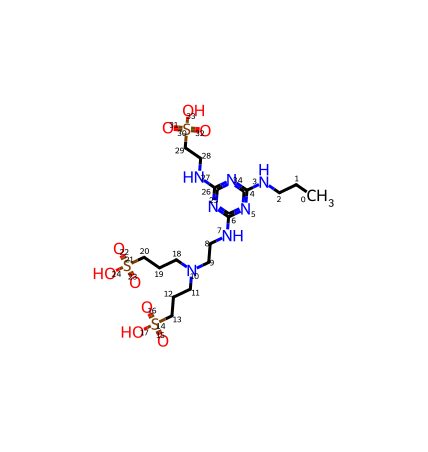 CCCNc1nc(NCCN(CCCS(=O)(=O)O)CCCS(=O)(=O)O)nc(NCCS(=O)(=O)O)n1